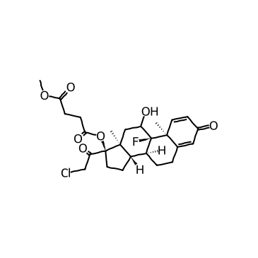 COC(=O)CCC(=O)O[C@]1(C(=O)CCl)CC[C@H]2[C@@H]3CCC4=CC(=O)C=C[C@]4(C)[C@@]3(F)C(O)C[C@@]21C